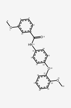 COc1cccc(C(=O)Nc2ccc(Oc3ccccc3OC)cc2)c1